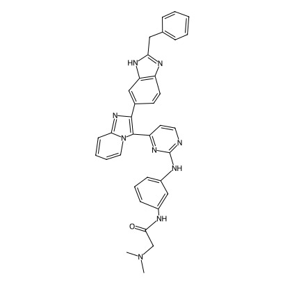 CN(C)CC(=O)Nc1cccc(Nc2nccc(-c3c(-c4ccc5nc(Cc6ccccc6)[nH]c5c4)nc4ccccn34)n2)c1